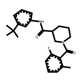 Cc1cccc(F)c1C(=O)N1CCCC(C(=O)Nc2cccc(C(C)(C)C)c2)C1